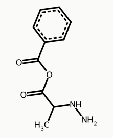 CC(NN)C(=O)OC(=O)c1ccccc1